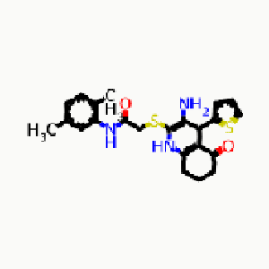 Cc1ccc(C)c(NC(=O)CSC2=C(N)C(c3cccs3)C3=C(CCCC3=O)N2)c1